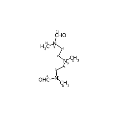 CN(C=O)CCN(C)CCN(C)C=O